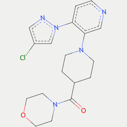 O=C(C1CCN(c2cnccc2-n2cc(Cl)cn2)CC1)N1CCOCC1